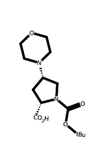 CC(C)(C)OC(=O)N1C[C@@H](N2CCOCC2)C[C@H]1C(=O)O